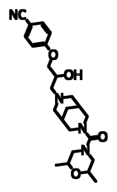 CC1CN(C(=O)N2CC3CC(CN(CC(O)COc4ccc(C#N)cc4)C3)C2)CC(C)O1